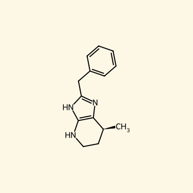 C[C@H]1CCNc2[nH]c(Cc3ccccc3)nc21